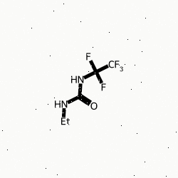 [CH2]CNC(=O)NC(F)(F)C(F)(F)F